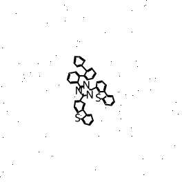 c1ccc(-c2ccccc2-c2ccccc2-c2nc(-c3ccc4sc5ccccc5c4c3)nc(-c3cccc4c3sc3ccccc34)n2)cc1